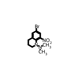 CN(C)N1CCCc2cc(Br)cc([N+](=O)[O-])c21